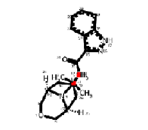 CC(C)(C)N1[C@@H]2COC[C@H]1C[C@@H](NC(=O)c1n[nH]c3ccccc13)C2